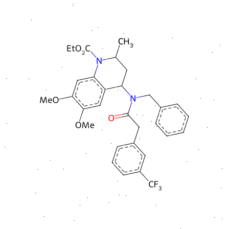 CCOC(=O)N1c2cc(OC)c(OC)cc2C(N(Cc2ccccc2)C(=O)Cc2cccc(C(F)(F)F)c2)CC1C